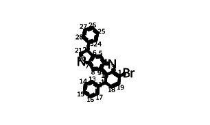 BrC1=C2N=c3cc4c(cc3=C2C(c2ccccc2)C=C1)N=CC4c1ccccc1